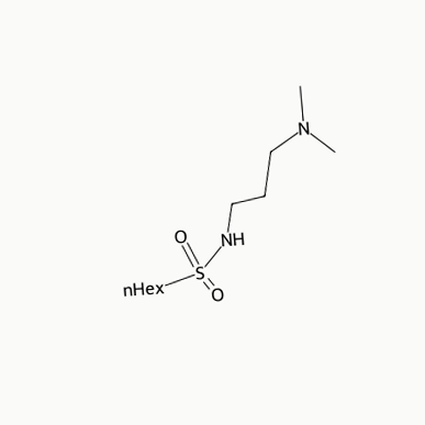 CCCCCCS(=O)(=O)NCCCN(C)C